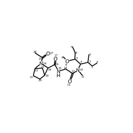 CCC(C)C(C(CC)OC)N(C)C(=O)CNC(=O)C1C2CCC(C2)N1C(C)=O